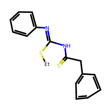 CCSC(=Nc1ccccc1)NC(=S)Cc1ccccc1